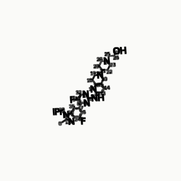 Cc1nc2c(F)cc(-c3nc(Nc4ccc5c(n4)CCN(C4CCN(CCO)CC4)C5)ncc3F)cc2n1C(C)C